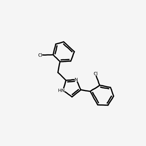 Clc1ccccc1Cc1nc(-c2ccccc2Cl)c[nH]1